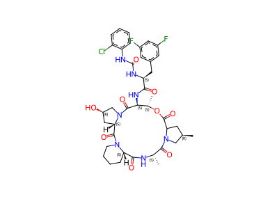 C[C@@H]1CC2C(=O)O[C@@H](C)[C@H](NC(=O)[C@H](Cc3cc(F)cc(F)c3)NC(=O)Nc3ccccc3Cl)C(=O)N3C[C@H](O)C[C@H]3C(=O)N3CCCC[C@H]3C(=O)N[C@@H](C)C(=O)N2C1